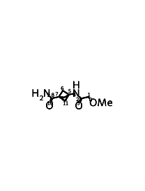 COCC(=O)NC12CC(C(N)=O)(C1)C2